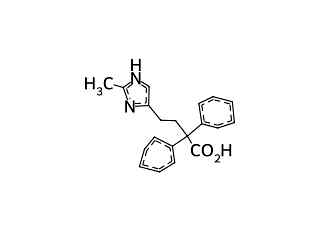 Cc1nc(CCC(C(=O)O)(c2ccccc2)c2ccccc2)c[nH]1